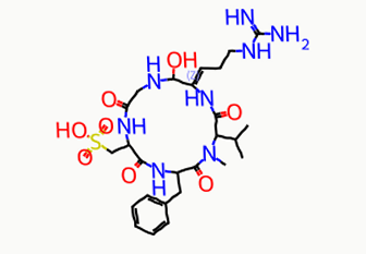 CC(C)C1C(=O)N/C(=C\CCNC(=N)N)C(O)NCC(=O)NC(CS(=O)(=O)O)C(=O)NC(Cc2ccccc2)C(=O)N1C